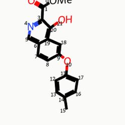 COC(=O)c1ncc2ccc(Oc3ccc(C)cc3)cc2c1O